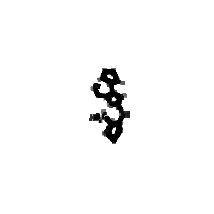 CC(C)Cc1sc(Nc2ccsc2C(=O)O)nc1-c1cccs1